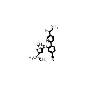 CN(C)c1cc(Oc2cc(C#N)ccc2-c2ccc([C@@H](F)CN)cn2)n(C)n1